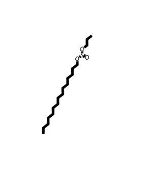 CCCCCCCCCCCCCCCOS(=O)OCCC